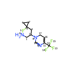 NCC(CC1(F)CC1)N1C=NC(C(F)(F)F)=CC1